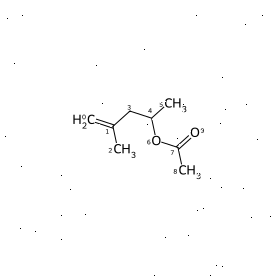 C=C(C)CC(C)OC(C)=O